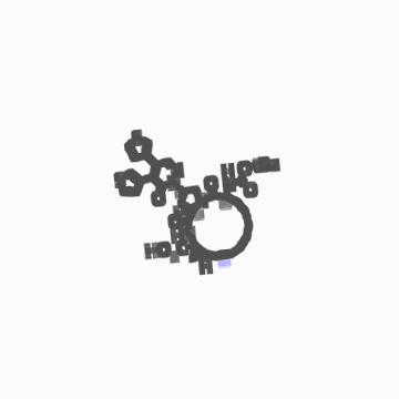 CC(C)(C)OC(=O)N[C@H]1CCCCC/C=C\[C@@H]2C[C@@]2(C(=O)O)NC(=O)[C@@H]2C[C@@H](n3ncc(-c4ccsc4)c(-c4ccsc4)c3=O)CN2C1=O